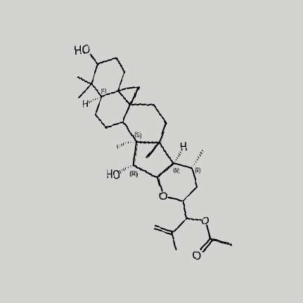 C=C(C)C(OC(C)=O)C1C[C@@H](C)[C@H]2C(O1)[C@H](O)[C@@]1(C)C3CC[C@H]4C(C)(C)C(O)CCC45CC35CCC21C